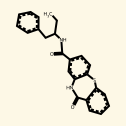 CCC(Cc1ccccc1)NC(=O)c1ccc2c(c1)NC(=O)c1ccccc1S2